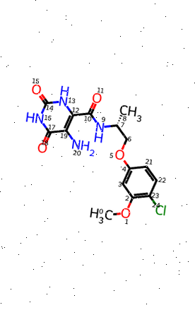 COc1cc(OC[C@@H](C)NC(=O)c2[nH]c(=O)[nH]c(=O)c2N)ccc1Cl